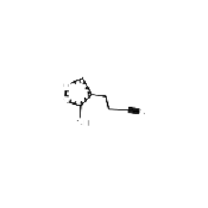 N#CCCc1conc1N